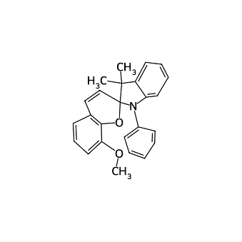 COc1cccc2c1OC1(C=C2)N(c2ccccc2)c2ccccc2C1(C)C